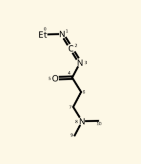 CCN=C=NC(=O)CCN(C)C